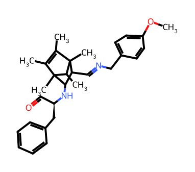 COc1ccc(C/N=C/C2C(N[C@H](C=O)Cc3ccccc3)C3(C)C(C)=C(C)C2(C)C3C)cc1